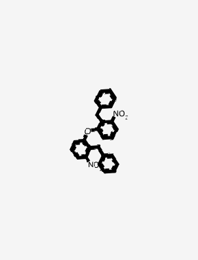 O=[N+]([O-])c1cccc(Oc2cccc([N+](=O)[O-])c2Cc2ccccc2)c1Cc1ccccc1